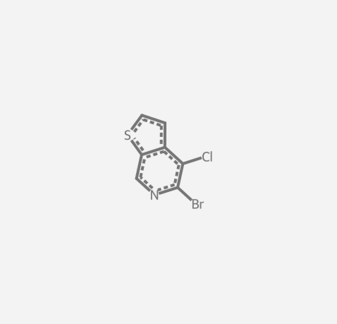 Clc1c(Br)ncc2sccc12